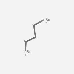 CCCC[CH]C[CH]CCCC